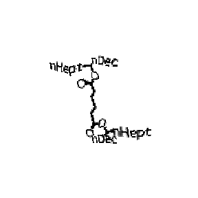 CCCCCCCCCCC(CCCCCCC)OC(=O)CCCCC(=O)OC(CCCCCCC)CCCCCCCCCC